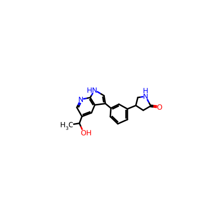 CC(O)c1cnc2[nH]cc(-c3cccc(C4CNC(=O)C4)c3)c2c1